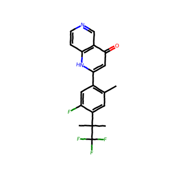 Cc1cc(C(C)(C)C(F)(F)F)c(F)cc1-c1cc(=O)c2cnccc2[nH]1